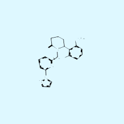 COc1cccc(OC)c1C1CCCC(=O)N1Cc1cccc(-n2cccn2)n1